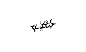 CCC1C2C(C)C2C(C)C2Cn3cc(C(=O)NCc4c(F)cc(F)cc4F)c(=O)c(O)c3C(=O)N21